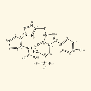 O=C(O)Nc1ccncc1-n1cnc(Cn2nc(-c3ccc(Cl)cc3)n(CC(O)C(F)(F)F)c2=O)n1